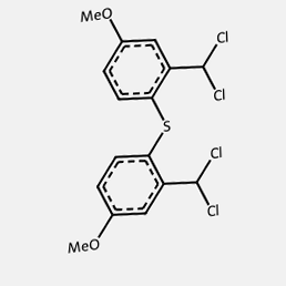 COc1ccc(Sc2ccc(OC)cc2C(Cl)Cl)c(C(Cl)Cl)c1